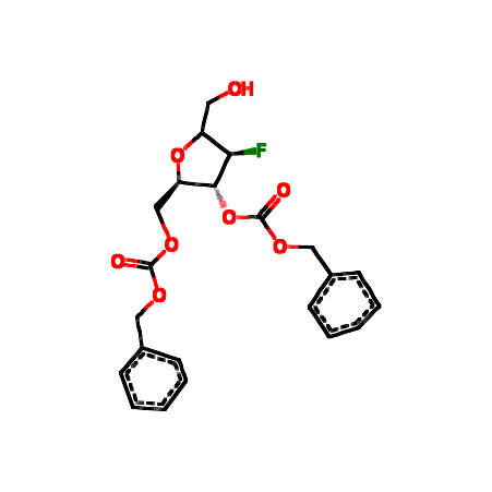 O=C(OCc1ccccc1)OC[C@H]1OC(CO)[C@@H](F)[C@@H]1OC(=O)OCc1ccccc1